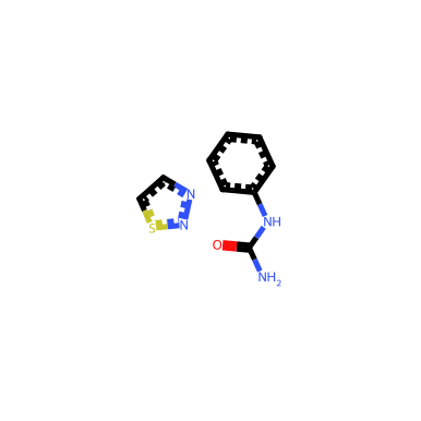 NC(=O)Nc1ccccc1.c1csnn1